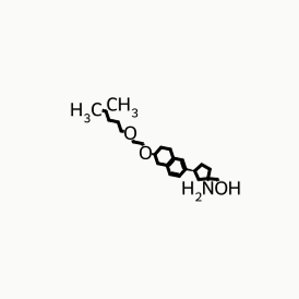 CC(C)CCCOCCO[C@H]1CCc2cc([C@H]3CC[C@](N)(CO)C3)ccc2C1